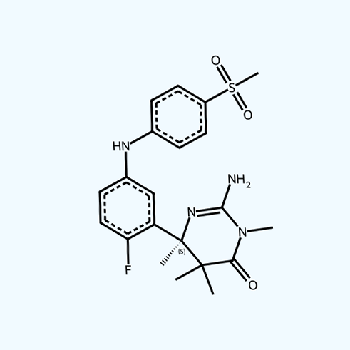 CN1C(=O)C(C)(C)[C@@](C)(c2cc(Nc3ccc(S(C)(=O)=O)cc3)ccc2F)N=C1N